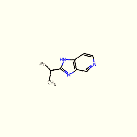 CC(C)C(C)c1nc2cnccc2[nH]1